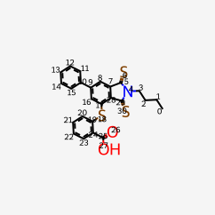 CCCCN1C(=S)c2cc(-c3ccccc3)cc(Sc3ccccc3C(=O)O)c2C1=S